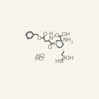 Cl.Cl.NC(CC(=O)OCc1ccccc1)C(=O)N1C[C@@H](CCB(O)O)C[C@](N)(C(=O)O)C1